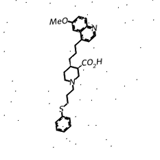 COc1ccc2nccc(CCC[C@@H]3CCN(CCCSc4ccccc4)C[C@@H]3C(=O)O)c2c1